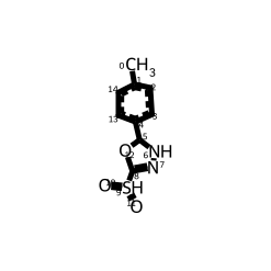 Cc1ccc(C2NN=C([SH](=O)=O)O2)cc1